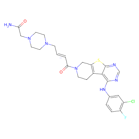 NC(=O)CN1CCN(C/C=C/C(=O)N2CCc3c(sc4ncnc(Nc5ccc(F)c(Cl)c5)c34)C2)CC1